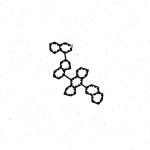 c1ccc2cc(-c3c4ccccc4c(-c4cccc5cc(-c6cncc7ccccc67)ccc45)c4ccccc34)ccc2c1